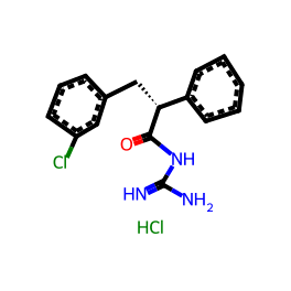 Cl.N=C(N)NC(=O)[C@H](Cc1cccc(Cl)c1)c1ccccc1